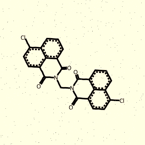 O=C1c2cccc3c(Cl)ccc(c23)C(=O)N1CN1C(=O)c2cccc3c(Cl)ccc(c23)C1=O